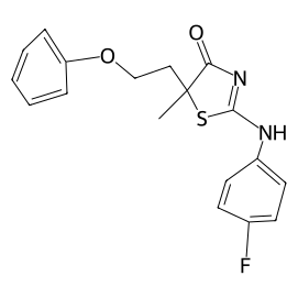 CC1(CCOc2ccccc2)SC(Nc2ccc(F)cc2)=NC1=O